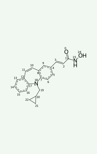 O=C(C=Cc1ccc2c(c1)C=Cc1ccccc1N2CC1CC1)NO